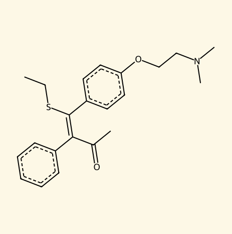 CCSC(=C(C(C)=O)c1ccccc1)c1ccc(OCCN(C)C)cc1